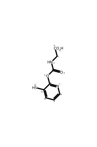 O=C(O)CNC(=O)Oc1ncccc1S